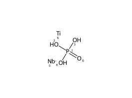 O=P(O)(O)O.[Nb].[Ti]